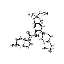 CC1(CO)Cc2cc(NC(=O)c3cnn4cc(F)cnc34)c(N3CCN(CC(F)F)CC3)cc2O1